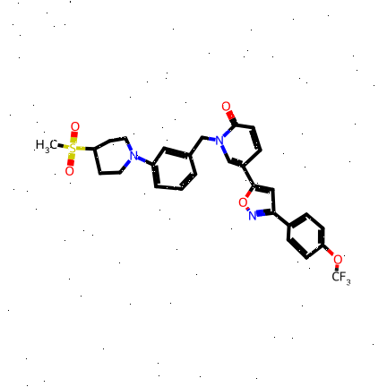 CS(=O)(=O)C1CCN(c2cccc(Cn3cc(-c4cc(-c5ccc(OC(F)(F)F)cc5)no4)ccc3=O)c2)CC1